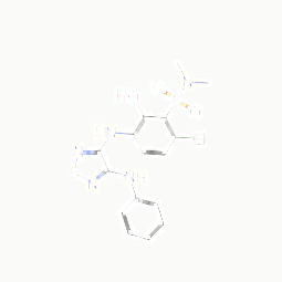 CN(C)S(=O)(=O)c1c(Cl)ccc(Nc2nsnc2Nc2ccccc2)c1O